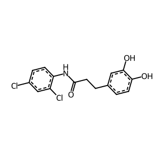 O=C(CCc1ccc(O)c(O)c1)Nc1ccc(Cl)cc1Cl